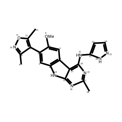 COc1cc2c(cc1-c1c(C)noc1C)[nH]c1nc(C)nc(Nc3ccn[nH]3)c12